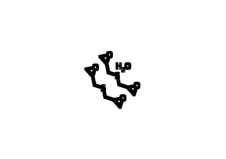 C1OC1CSCC1CO1.C1OC1CSCC1CO1.O